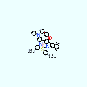 CC(C)(C)c1ccc(N2B3c4sc5ccc(C(C)(C)C)cc5c4-n4c5cc6c(cc5c5c7oc8ccccc8c7c(c3c54)-c3cc(N(c4ccccc4)c4ccccc4)ccc32)C(C)(C)CCC6(C)C)cc1